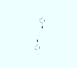 Fc1cc(C#CCCCCC#Cc2ccc(Br)c(F)c2)ccc1Br